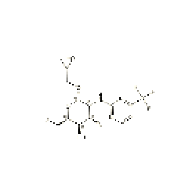 OC[C@H]1O[C@H](OCC2CO2)[C@H](Nc2nccc(C(F)(F)F)n2)[C@@H](O)[C@H]1O